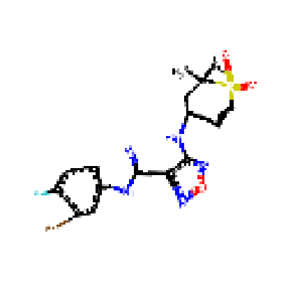 BC1(B)CC(Nc2nonc2C(=N)Nc2ccc(F)c(Br)c2)CCS1(=O)=O